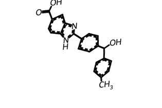 Cc1ccc(C(O)c2ccc(-c3nc4cc(C(=O)O)ccc4[nH]3)cc2)cc1